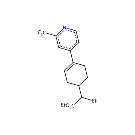 CCOC(=O)C(CC)C1CC=C(c2ccnc(C(F)(F)F)c2)CC1